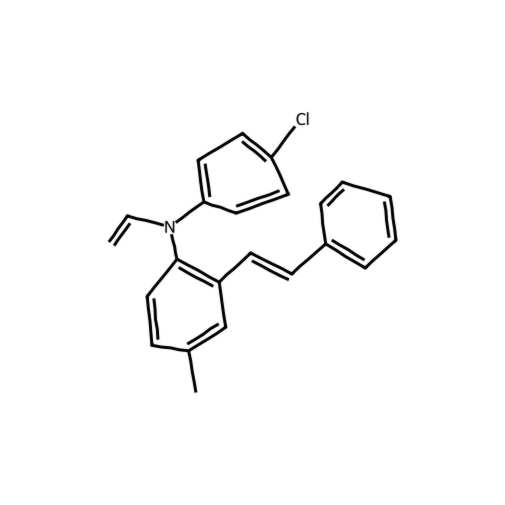 C=CN(c1ccc(Cl)cc1)c1ccc(C)cc1C=Cc1ccccc1